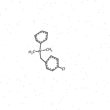 C[N+](C)(Cc1ccc(Cl)cc1)c1ccccc1